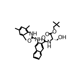 Cc1cc(C)c(NC(=O)Nc2cc3ccccc3cc2C(=O)N[C@@H](CO)C(=O)OCC(C)(C)C)c(C)c1